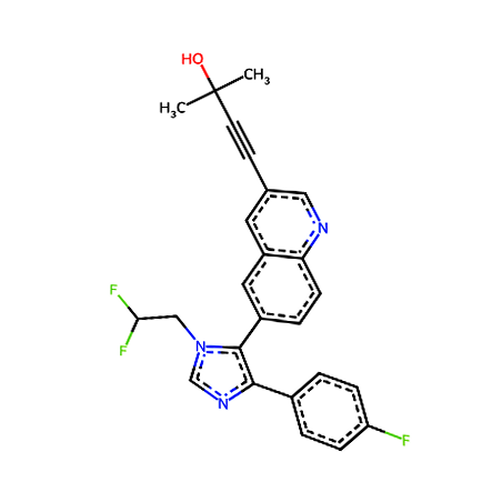 CC(C)(O)C#Cc1cnc2ccc(-c3c(-c4ccc(F)cc4)ncn3CC(F)F)cc2c1